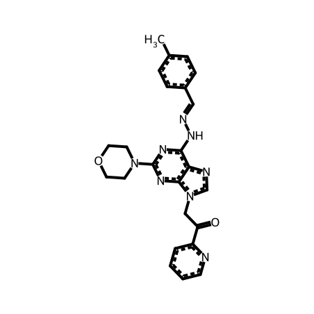 Cc1ccc(C=NNc2nc(N3CCOCC3)nc3c2ncn3CC(=O)c2ccccn2)cc1